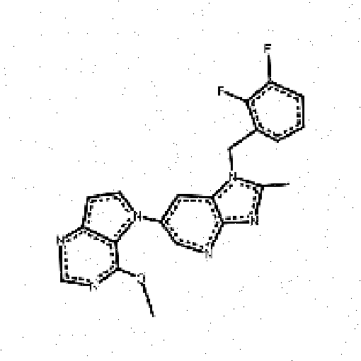 COc1ncnc2ccn(-c3cnc4nc(C)n(Cc5cccc(F)c5F)c4c3)c12